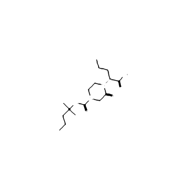 CCCC(C)(C)OC(=O)N1CCN([C@H](C(=O)O)[C@@H](C)CC)C(=O)C1